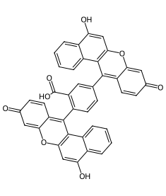 O=C(O)c1cc(-c2c3ccc(=O)cc-3oc3cc(O)c4ccccc4c23)ccc1-c1c2ccc(=O)cc-2oc2cc(O)c3ccccc3c12